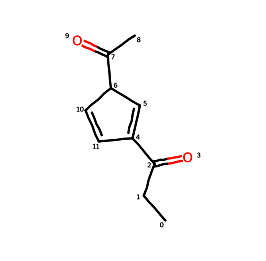 CCC(=O)C1=CC(C(C)=O)C=C1